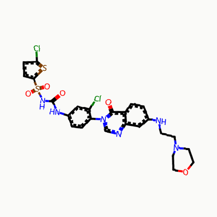 O=C(Nc1ccc(-n2cnc3cc(NCCN4CCOCC4)ccc3c2=O)c(Cl)c1)NS(=O)(=O)c1ccc(Cl)s1